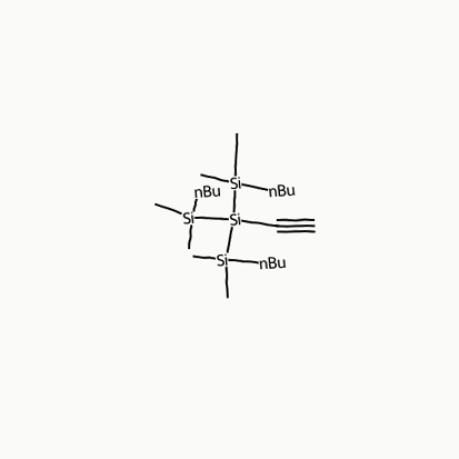 C#C[Si]([Si](C)(C)CCCC)([Si](C)(C)CCCC)[Si](C)(C)CCCC